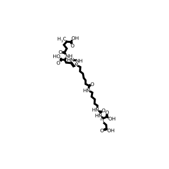 CC(CCC(=O)NC(CC1=CN(CCCCCCC(=O)NCCCCCNC(=O)N[C@@H](CCC(=O)O)C(=O)O)NN1)C(=O)O)C(=O)O